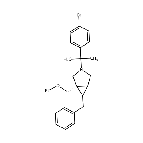 CCOC[C@]12CN(C(C)(C)c3ccc(Br)cc3)CC1C2Cc1ccccc1